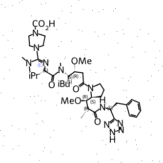 CC[C@H](C)[C@@H]([C@@H](CC(=O)N1CCC[C@H]1[C@H](OC)[C@@H](C)C(=O)N[C@@H](Cc1ccccc1)c1nn[nH]n1)OC)N(C)C(=O)[C@@H](/N=C(\N(C)C)N1CCN(C(=O)O)CC1)C(C)C